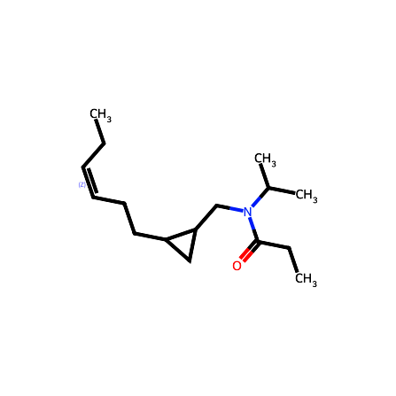 CC/C=C\CCC1CC1CN(C(=O)CC)C(C)C